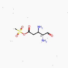 CS(=O)(=O)OC(=O)CC(N)[C@@H](N)C=O